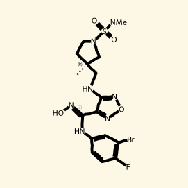 CNS(=O)(=O)N1CC[C@](C)(CNc2nonc2/C(=N/O)Nc2ccc(F)c(Br)c2)C1